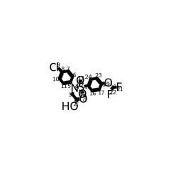 O=C(O)CN(c1ccc(Cl)cc1)S(=O)(=O)c1ccc(OC(F)F)cc1